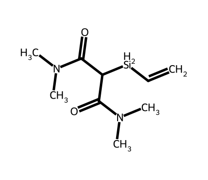 C=C[SiH2]C(C(=O)N(C)C)C(=O)N(C)C